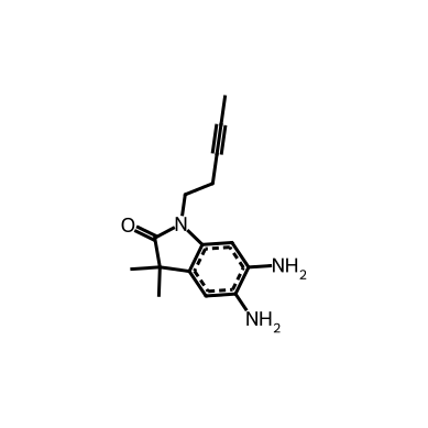 CC#CCCN1C(=O)C(C)(C)c2cc(N)c(N)cc21